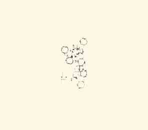 CC1(C)c2ccccc2-c2ccc3c(oc4cc(-c5nc(-c6ccccc6)nc(-c6ccccc6-c6ccccc6)n5)ccc43)c21